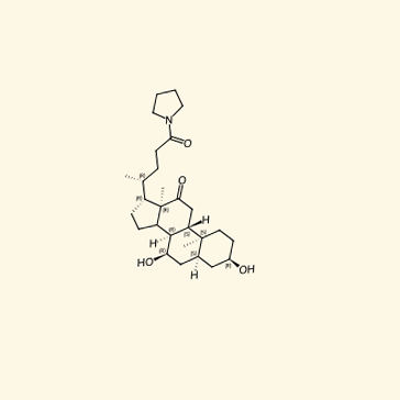 C[C@H](CCC(=O)N1CCCC1)[C@H]1CCC2[C@@H]3[C@H](O)C[C@@H]4C[C@H](O)CC[C@]4(C)[C@H]3CC(=O)[C@@]21C